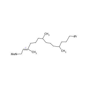 CNC/C=C(\C)CCCC(C)CCCC(C)CCCC(C)C